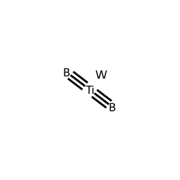 [B]#[Ti]#[B].[W]